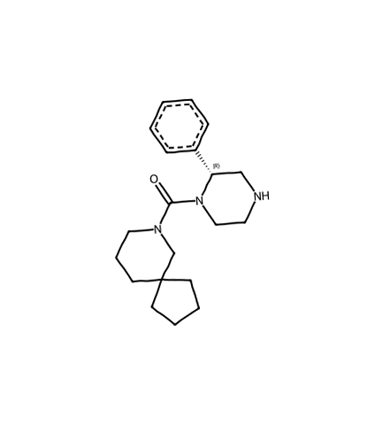 O=C(N1CCCC2(CCCC2)C1)N1CCNC[C@H]1c1ccccc1